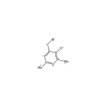 CC(C)(C)c1cc(CBr)c(Cl)c(C(C)(C)C)c1